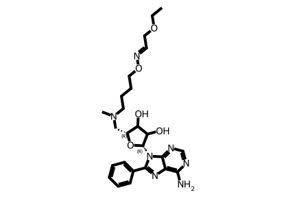 CCOCC=NOCCCCN(C)C[C@H]1O[C@@H](n2c(-c3ccccc3)nc3c(N)ncnc32)C(O)C1O